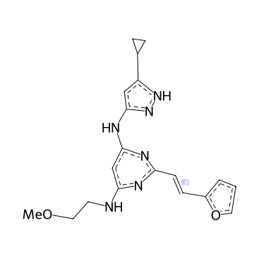 COCCNc1cc(Nc2cc(C3CC3)[nH]n2)nc(/C=C/c2ccco2)n1